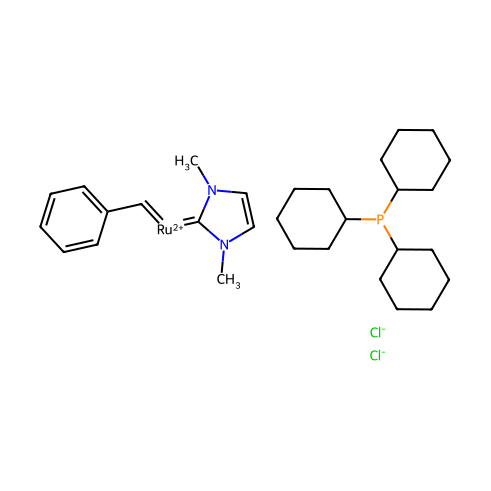 C1CCC(P(C2CCCCC2)C2CCCCC2)CC1.Cn1ccn(C)[c]1=[Ru+2]=[CH]c1ccccc1.[Cl-].[Cl-]